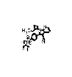 CCC1CCC1n1c(-c2ccc(S(=O)(=O)NC(CF)CF)cc2)c(C#N)c2cccnc21